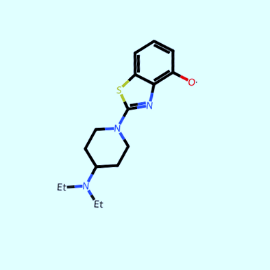 CCN(CC)C1CCN(c2nc3c([O])cccc3s2)CC1